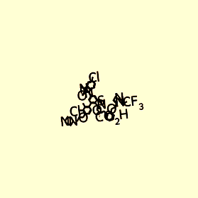 Cc1c(-c2cc(-n3c(=O)n(C)c4cc(Cl)ccc43)cc3snc(O[C@H](Cc4ccccc4OCc4ccnn4CC(F)(F)F)C(=O)O)c23)ccc(OCCN2CCN(C)CC2)c1Cl